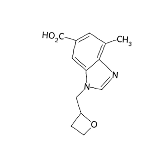 Cc1cc(C(=O)O)cc2c1ncn2CC1CCO1